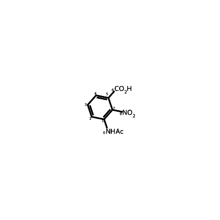 CC(=O)Nc1cccc(C(=O)O)c1[N+](=O)[O-]